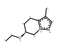 CCO[C@H]1CCc2c(C)cnn2C1